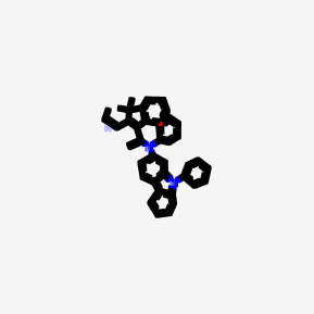 C=C(C1=C(/C=C\C)C(C)(C)c2ccccc21)N(c1ccccc1)c1ccc2c3ccccc3n(-c3ccccc3)c2c1